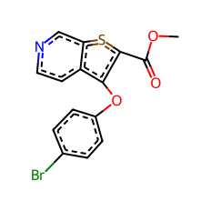 COC(=O)c1sc2cnccc2c1Oc1ccc(Br)cc1